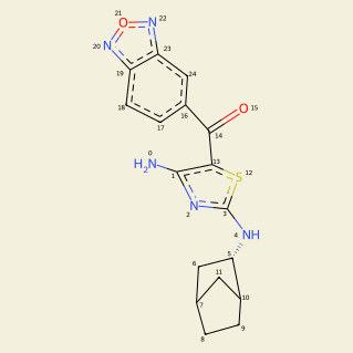 Nc1nc(N[C@H]2CC3CCC2C3)sc1C(=O)c1ccc2nonc2c1